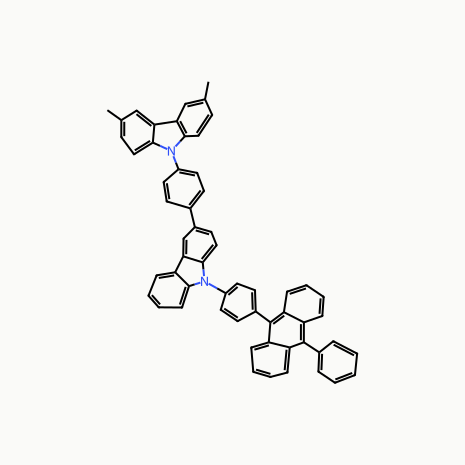 Cc1ccc2c(c1)c1cc(C)ccc1n2-c1ccc(-c2ccc3c(c2)c2ccccc2n3-c2ccc(-c3c4ccccc4c(-c4ccccc4)c4ccccc34)cc2)cc1